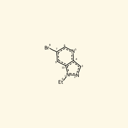 CCn1ncc2ncc(Br)cc21